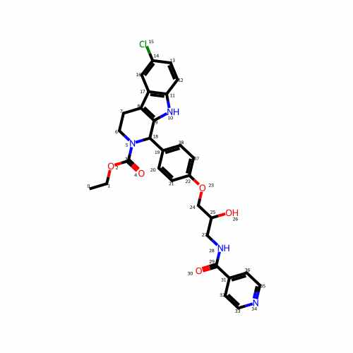 CCOC(=O)N1CCc2c([nH]c3ccc(Cl)cc23)C1c1ccc(OCC(O)CNC(=O)c2ccncc2)cc1